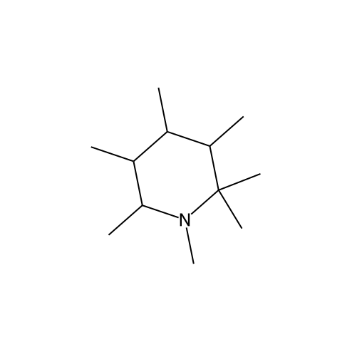 CC1C(C)C(C)C(C)(C)N(C)C1C